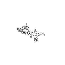 Cc1ccc([C@H](CC(=O)O)NC(=O)c2cc(OC[C@](C)(O)C(C)(C)C)n(-c3ccc(F)cc3)n2)c(C)c1